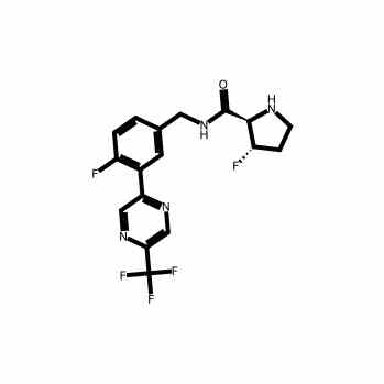 O=C(NCc1ccc(F)c(-c2cnc(C(F)(F)F)cn2)c1)[C@H]1NCC[C@@H]1F